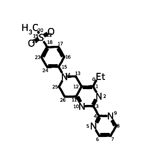 CCc1nc(-c2ncccn2)nc2c1CN(c1ccc(S(C)(=O)=O)cc1)CC2